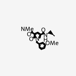 CNC(=O)c1cc(C(=O)N[C@@H]2C[C@H]2C)cn(Cc2cccc(OC)c2)c1=O